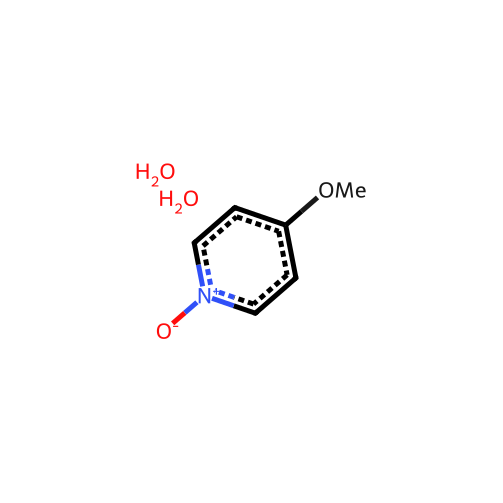 COc1cc[n+]([O-])cc1.O.O